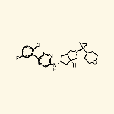 Fc1ccc(Cl)c(-c2ccc(N[C@@H]3CC4CN(C5(C6CCOCC6)CC5)C[C@H]4C3)nn2)c1